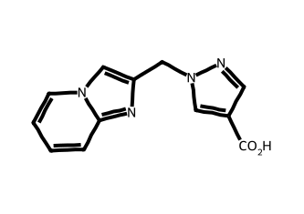 O=C(O)c1cnn(Cc2cn3ccccc3n2)c1